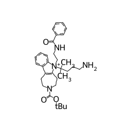 CC(C)(C)OC(=O)N1CCC2=C(CC1)[N+](CCNC(=O)c1ccccc1)(C(C)(C)CCCN)c1ccccc12